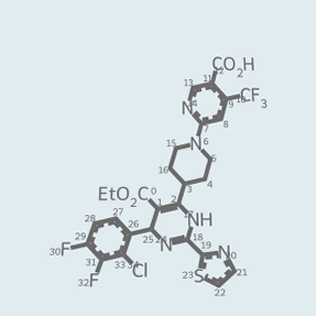 CCOC(=O)C1=C(C2CCN(c3cc(C(F)(F)F)c(C(=O)O)cn3)CC2)NC(c2nccs2)=NC1c1ccc(F)c(F)c1Cl